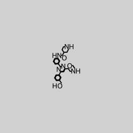 O=C(Nc1cccc(-c2nc(-c3cccc(CO)c3)cc(C3CNCCO3)n2)c1)C1CCNCC1